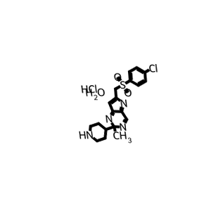 CC1(C2CCNCC2)N=CC2=NC(CS(=O)(=O)c3ccc(Cl)cc3)=CC2=N1.Cl.O